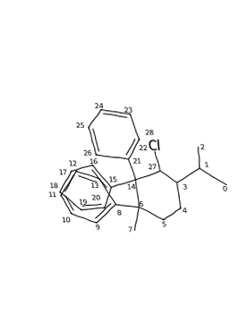 CC(C)C1CCC(C)(c2ccccc2)C(c2ccccc2)(c2ccccc2)C1Cl